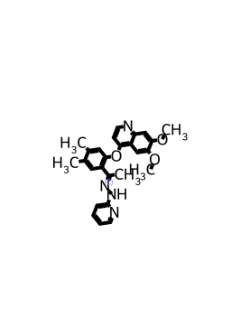 COc1cc2nccc(Oc3cc(C)c(C)cc3/C(C)=N/Nc3ccccn3)c2cc1OC